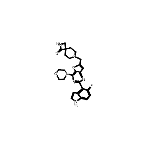 O=C1NCC12CCN(Cc1cc3nc(-c4c(F)ccc5[nH]ccc45)nc(N4CCOCC4)c3s1)CC2